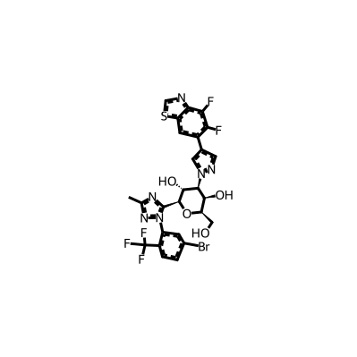 Cc1nc([C@@H]2O[C@H](CO)[C@H](O)[C@H](n3cc(-c4cc5scnc5c(F)c4F)cn3)[C@H]2O)n(-c2cc(Br)ccc2C(F)(F)F)n1